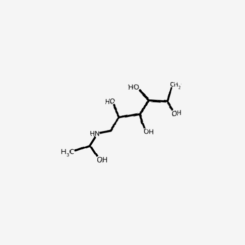 [CH2]C(O)C(O)C(O)C(O)CNC(C)O